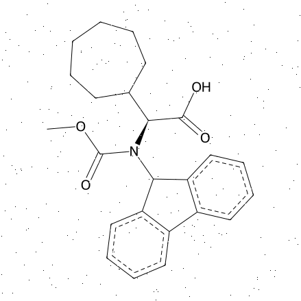 COC(=O)N(C1c2ccccc2-c2ccccc21)[C@H](C(=O)O)C1CCCCCC1